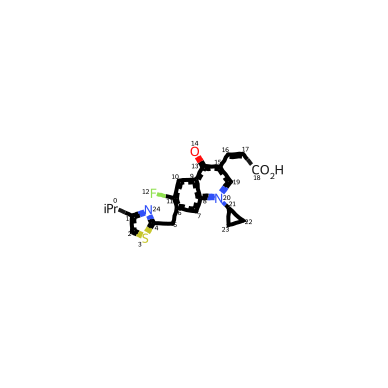 CC(C)c1csc(Cc2cc3c(cc2F)c(=O)c(/C=C\C(=O)O)cn3C2CC2)n1